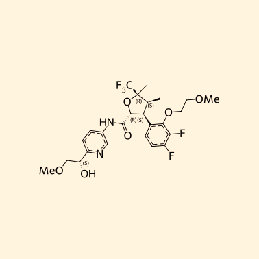 COCCOc1c([C@H]2[C@H](C(=O)Nc3ccc([C@H](O)COC)nc3)O[C@@](C)(C(F)(F)F)[C@H]2C)ccc(F)c1F